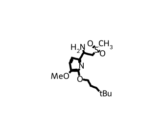 COc1ccc(C(N)CS(C)(=O)=O)nc1OCCCC(C)(C)C